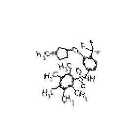 Cc1c(C)c(C)c(S(=O)(=O)Nc2ccc(C(F)(F)F)c(OC3CCN(C)C3)c2)c(C)c1C